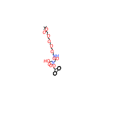 CC(C)(C)OC(=O)CCOCCOCCOCCOCCNOC(=O)CN(CC(=O)O)C(=O)OCC1c2ccccc2-c2ccccc21